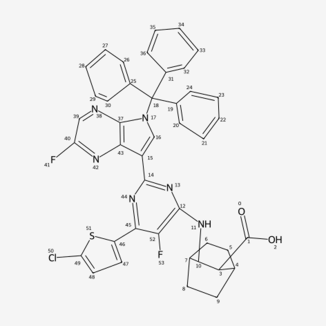 O=C(O)C1C2CCC(CC2)C1Nc1nc(-c2cn(C(c3ccccc3)(c3ccccc3)c3ccccc3)c3ncc(F)nc23)nc(-c2ccc(Cl)s2)c1F